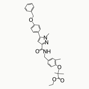 CCOC(=O)C(C)(C)Oc1ccc(CNC(=O)c2cc(-c3ccc(OCc4ccccc4)cc3)n(C)n2)cc1C